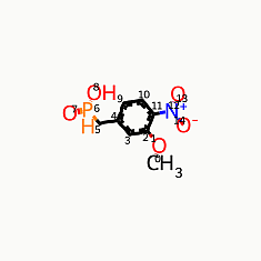 COc1cc(C[PH](=O)O)ccc1[N+](=O)[O-]